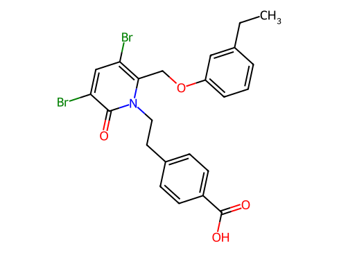 CCc1cccc(OCc2c(Br)cc(Br)c(=O)n2CCc2ccc(C(=O)O)cc2)c1